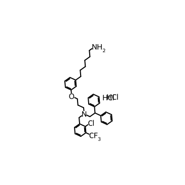 Cl.Cl.NCCCCCCc1cccc(OCCCN(Cc2cccc(C(F)(F)F)c2Cl)CC(c2ccccc2)c2ccccc2)c1